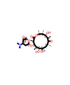 C[C@@H]1[C@H](O)[C@@H](C)C(=O)[C@H](C)C[C@@](C)(O)[C@H](O)[C@@H](C)[C@H](O[C@H]2CC(N(C)C)C3O[C@H]3O2)[C@@H](C)C(=O)O[C@@H]1C